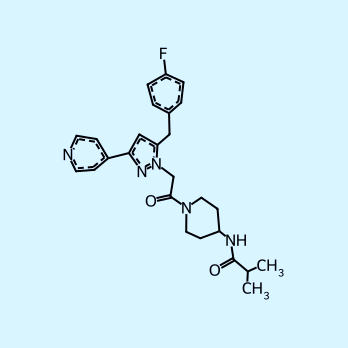 CC(C)C(=O)NC1CCN(C(=O)Cn2nc(-c3ccncc3)cc2Cc2ccc(F)cc2)CC1